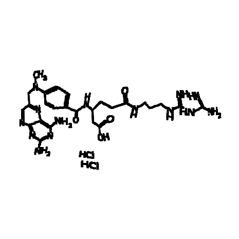 CN(Cc1cnc2nc(N)nc(N)c2n1)c1ccc(C(=O)N[C@@H](CCC(=O)NCCCNC(=N)NC(=N)N)CC(=O)O)cc1.Cl.Cl